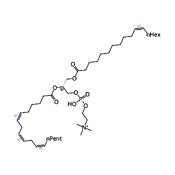 CCCCC/C=C\C/C=C\C/C=C\CCCCC(=O)O[C@H](COC(=O)CCCCCCCCC/C=C\CCCCCC)COP(=O)(O)OCC[N+](C)(C)C